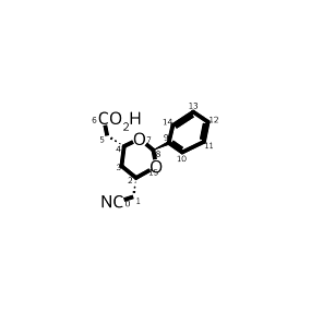 N#CC[C@@H]1C[C@H](CC(=O)O)O[C@@H](c2ccccc2)O1